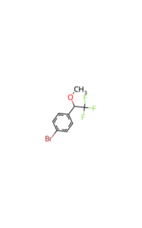 COC(c1ccc(Br)cc1)C(F)(F)F